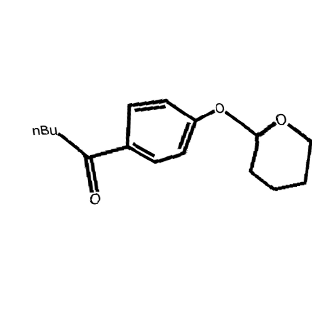 CCCCC(=O)c1ccc(OC2CCCCO2)cc1